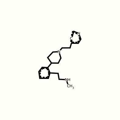 CNCCc1ccccc1C1CCN(CCc2ccncc2)CC1